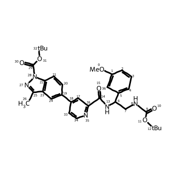 COc1cccc(C(CNC(=O)OC(C)(C)C)NC(=O)c2cc(-c3ccc4c(c3)c(C)nn4C(=O)OC(C)(C)C)ccn2)c1